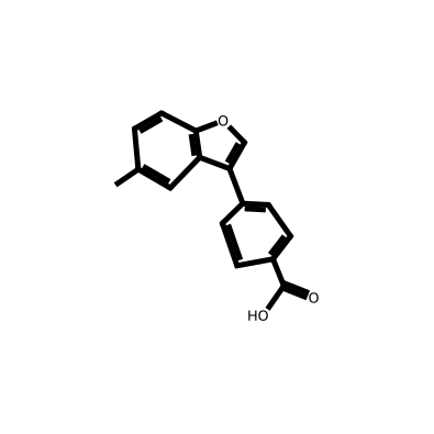 Cc1ccc2occ(-c3ccc(C(=O)O)cc3)c2c1